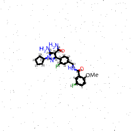 COc1ccc(F)cc1C(=O)NCc1ccc(-c2nn(C3CCCC3)c(N)c2C(N)=O)c(F)c1